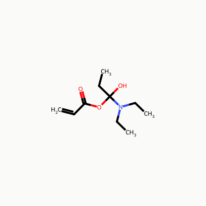 C=CC(=O)OC(O)(CC)N(CC)CC